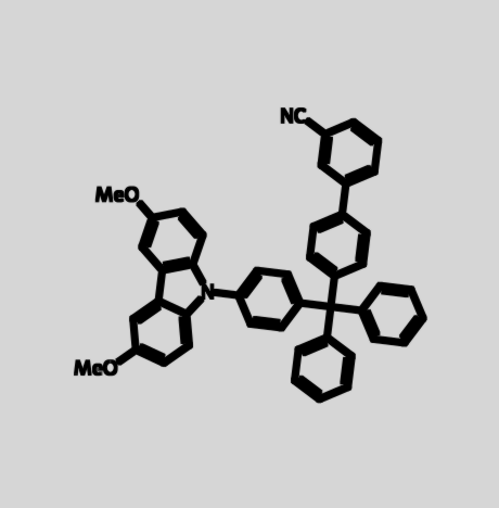 COc1ccc2c(c1)c1cc(OC)ccc1n2-c1ccc(C(c2ccccc2)(c2ccccc2)c2ccc(-c3cccc(C#N)c3)cc2)cc1